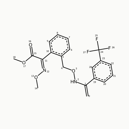 C=C(NOCc1ccccc1C(=NOC)C(=O)OC)c1cccc(C(F)(F)F)c1